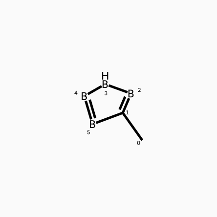 CC1=BBB=B1